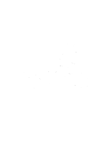 c1ccc(-n2c3ccccc3c3c4ccc5c6ccccc6n(-c6ncc7ccccc7n6)c5c4ccc32)cc1